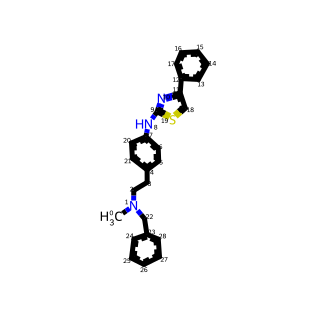 CN(CCc1ccc(Nc2nc(-c3ccccc3)cs2)cc1)Cc1ccccc1